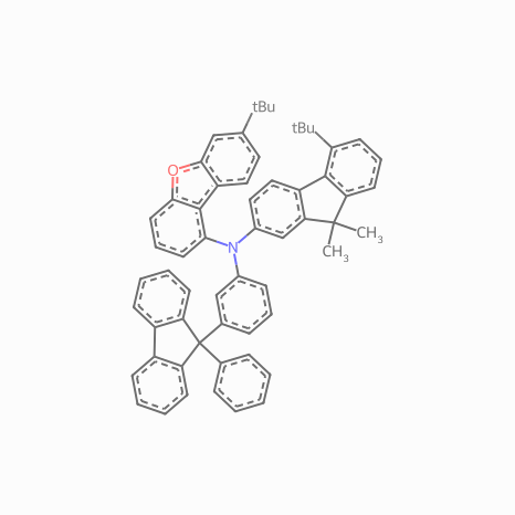 CC(C)(C)c1ccc2c(c1)oc1cccc(N(c3cccc(C4(c5ccccc5)c5ccccc5-c5ccccc54)c3)c3ccc4c(c3)C(C)(C)c3cccc(C(C)(C)C)c3-4)c12